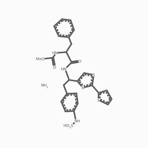 COC(=O)NC(Cc1ccccc1)C(=O)NC(Cc1ccc(NS(=O)(=O)O)cc1)c1csc(-c2cccs2)n1.N